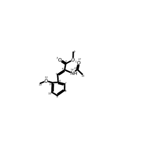 COC(=O)C(=Cc1ccccc1OC)NC(C)=O